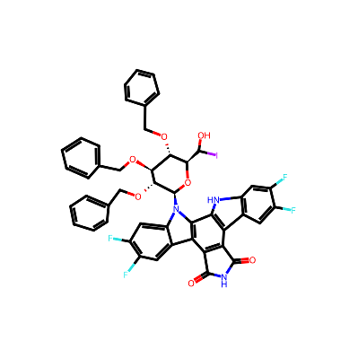 O=C1NC(=O)c2c1c1c3cc(F)c(F)cc3[nH]c1c1c2c2cc(F)c(F)cc2n1[C@@H]1O[C@H](C(O)I)[C@@H](OCc2ccccc2)[C@H](OCc2ccccc2)[C@H]1OCc1ccccc1